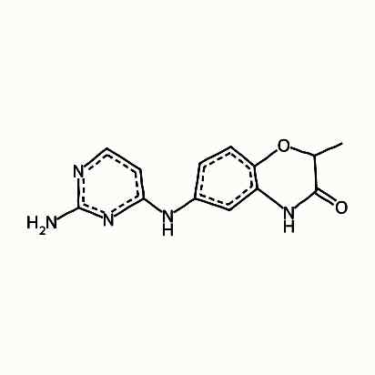 CC1Oc2ccc(Nc3ccnc(N)n3)cc2NC1=O